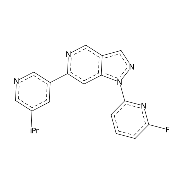 CC(C)c1cncc(-c2cc3c(cn2)cnn3-c2cccc(F)n2)c1